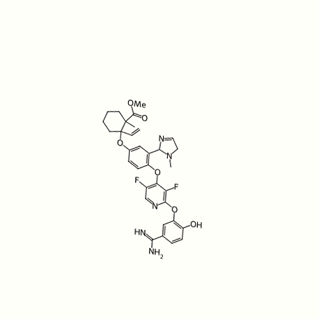 C=CC1(Oc2ccc(Oc3c(F)cnc(Oc4cc(C(=N)N)ccc4O)c3F)c(C3N=CCN3C)c2)CCCCC1(C)C(=O)OC